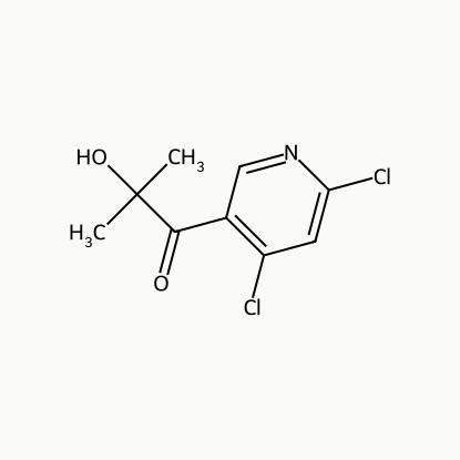 CC(C)(O)C(=O)c1cnc(Cl)cc1Cl